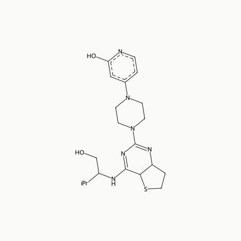 CC(C)C(CO)NC1=NC(N2CCN(c3ccnc(O)c3)CC2)=NC2CCSC12